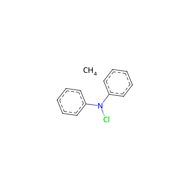 C.ClN(c1ccccc1)c1ccccc1